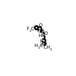 Cc1cc2cc(CNC(=O)N3CC4(CC(=O)c5ccc(C(F)(F)F)cc5O4)C3)cnc2n1C